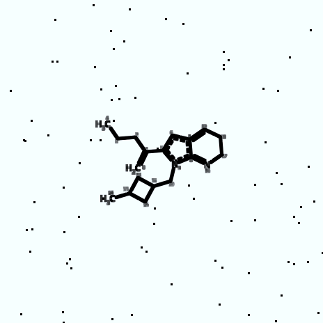 C=C(CCC)c1cc2c(n1CC1CC(C)C1)=NCCC=2